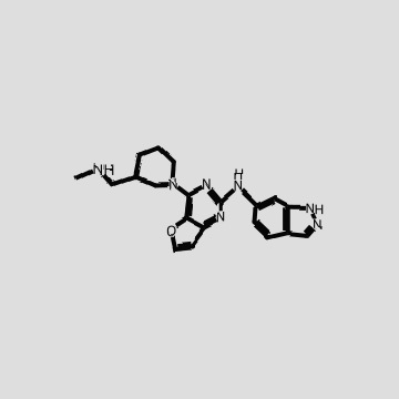 CNCC1CCCN(c2nc(Nc3ccc4cn[nH]c4c3)nc3ccoc23)C1